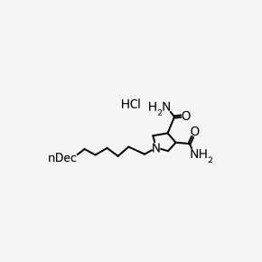 CCCCCCCCCCCCCCCCN1CC(C(N)=O)C(C(N)=O)C1.Cl